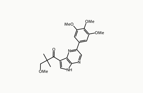 COCC(C)(C)C(=O)c1c[nH]c2ncc(-c3cc(OC)c(OC)c(OC)c3)nc12